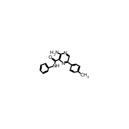 Cc1ccc(-c2cnc(N)c(C(=O)Nc3ccccc3)n2)cc1